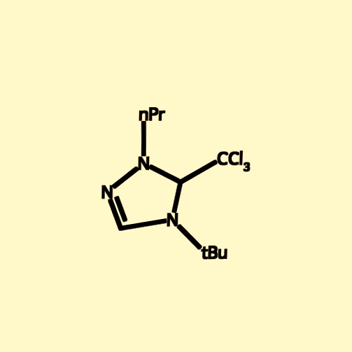 CCCN1N=CN(C(C)(C)C)C1C(Cl)(Cl)Cl